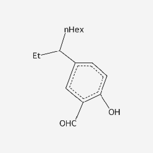 CCCCCCC(CC)c1ccc(O)c(C=O)c1